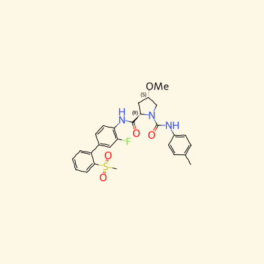 CO[C@H]1C[C@H](C(=O)Nc2ccc(-c3ccccc3S(C)(=O)=O)cc2F)N(C(=O)Nc2ccc(C)cc2)C1